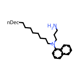 CCCCCCCCCCCCCCCCCCN(CCCN)c1cccc2ccccc12